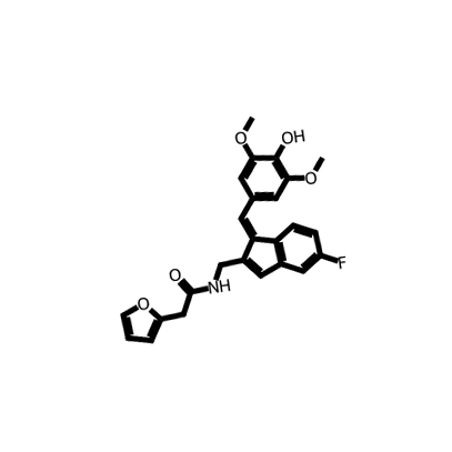 COc1cc(/C=C2/C(CNC(=O)Cc3ccco3)=Cc3cc(F)ccc32)cc(OC)c1O